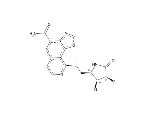 CC[C@@H]1[C@H](F)C(=O)N[C@@H]1COc1nccc2cc(C(N)=O)n3nccc3c12